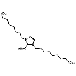 CCCCCCCCCCCCCCCCCCN1C=CN(CCCCCCCCCCCCCCCCC)C1CCCCCCCCC